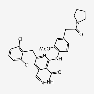 COc1cc(CC(=O)N2CCCC2)ccc1Nc1nc(Cc2c(Cl)cccc2Cl)cc2cn[nH]c(=O)c12